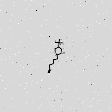 C#CCCCCC1OCC(C(C)(C)C)CS1